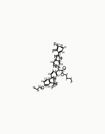 CCCCOC(=O)C(c1ccc(-c2ccc(OCCC)cc2C(F)(F)F)nc1)n1cc2nc(-c3cccc(F)c3F)nc-2cn1